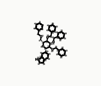 c1ccc(COC[C@H]2O[C@@H](c3ccc4cc[nH]c4c3)[C@H](OCc3ccccc3)[C@@H](OCc3ccccc3)[C@@H]2OCc2ccccc2)cc1